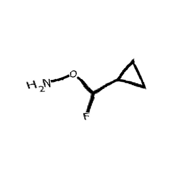 NOC(F)C1CC1